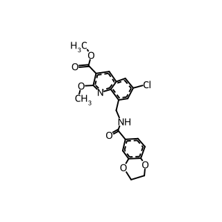 COC(=O)c1cc2cc(Cl)cc(CNC(=O)c3ccc4c(c3)OCCO4)c2nc1OC